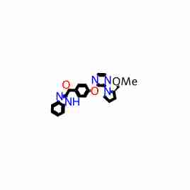 COC[C@H]1CCCN1c1nccnc1Oc1ccc(C(=O)c2nc3ccccc3[nH]2)cc1